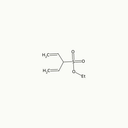 C=CC(C=C)S(=O)(=O)OCC